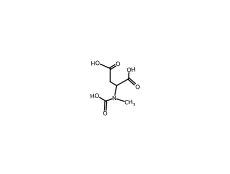 CN(C(=O)O)C(CC(=O)O)C(=O)O